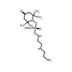 CCCCCP(=O)(ONCCNCCN)ON1C(C)(C)CC(=O)CC1(C)C